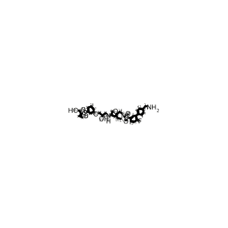 NCc1ccc(-c2cc(S(=O)(=O)N3CCC4(CC3)C[C@@H](NC[C@H](O)COc3cccc(S(=O)(=O)C5(CO)CC5)c3)CO4)ccc2F)cc1